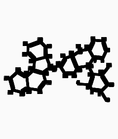 Cc1cc(C)c(B2c3ccccc3Sc3cc(-n4c5ccccc5c5c6ccccc6ccc54)ccc32)c(C)c1